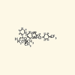 C=C(O[Si](C)(C)C)c1ccccc1-c1ccc2[nH]c(/C=C/c3ccc(C(F)(F)F)cc3)nc2c1